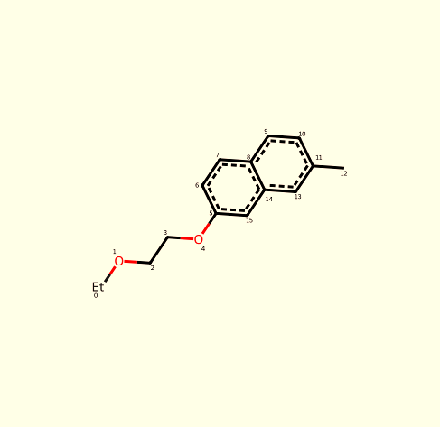 CCOCCOc1ccc2ccc(C)cc2c1